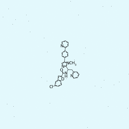 Cn1c(-c2ccc(-c3ccccn3)cc2)cnc1C(Cc1ccccn1)NC(=O)c1cc2cc(Cl)ccc2o1